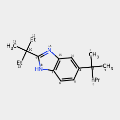 CCCC(C)(C)c1ccc2[nH]c(C(C)(CC)CC)nc2c1